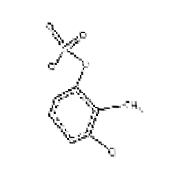 Cc1c(Cl)cccc1OS(=O)(=O)Cl